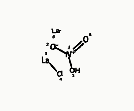 O=[N+]([O-])O.[Cl][La].[La]